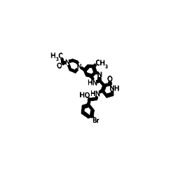 CC(=O)N1CCN(c2cc(C)c3nc(-c4c(NCC(O)c5cccc(Br)c5)cc[nH]c4=O)[nH]c3c2)CC1